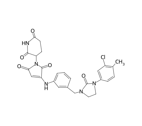 Cc1ccc(N2CCN(Cc3cccc(NC4=CC(=O)N(C5CCC(=O)NC5=O)C4=O)c3)C2=O)cc1Cl